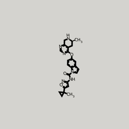 C[C@H]1Cc2c(ncnc2Oc2ccc3c(ccn3C(=O)Nc3cc(C4(C)CC4)on3)c2)CN1